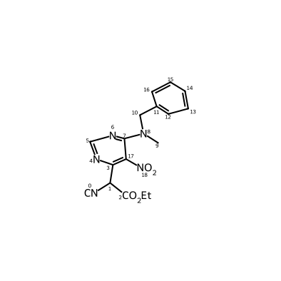 [C-]#[N+]C(C(=O)OCC)c1ncnc(N(C)Cc2ccccc2)c1[N+](=O)[O-]